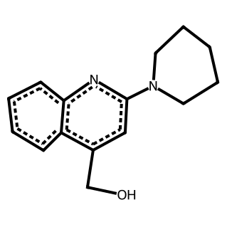 OCc1cc(N2CCCCC2)nc2ccccc12